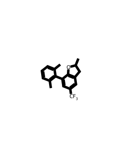 Cc1cccc(C)c1-c1cc(C(F)(F)F)cc2c1OC(C)C2